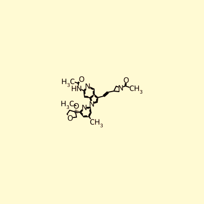 CO[C@@]1(c2cc(C)cc(-n3cc(C#CC4CN(C(C)=O)C4)c4cnc(NC(C)=O)cc43)n2)CCOC1